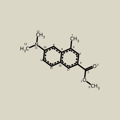 COC(=O)c1cc(C)c2cc(N(C)C)ccc2c1